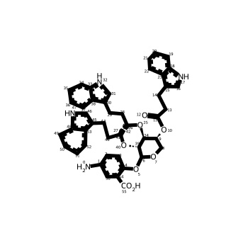 Nc1ccc(OC2OC[C@@H](OC(=O)CCc3c[nH]c4ccccc34)[C@H](OC(=O)CCc3c[nH]c4ccccc34)[C@H]2OC(=O)CCc2c[nH]c3ccccc23)c(C(=O)O)c1